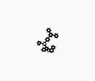 c1ccc(-c2cc(-c3ccccc3)cc(-c3ccc(-c4nc(-c5ccccc5)nc(-c5cc6c(oc7ccc8ccccc8c76)c6ccccc56)n4)cc3)c2)cc1